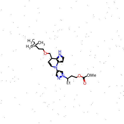 CCC(CCOC(=O)OC)n1cc(N2C=CC(COCC[Si](C)(C)C)c3[nH]ccc32)cn1